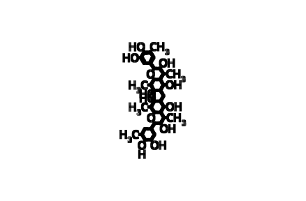 Cc1cc(C2OC3C(C)C(O)C(CC4C(O)C(C)C5OC(C6CC(C)C(O)C(O)C6)C(O)C(C)C5C4O)C(O)C3C(C)C2O)cc(O)c1O